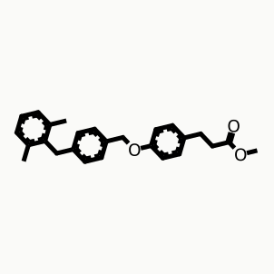 COC(=O)CCc1ccc(OCc2ccc(Cc3c(C)cccc3C)cc2)cc1